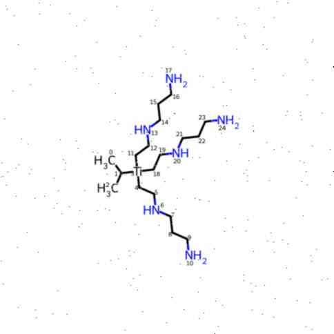 C[CH](C)[Ti]([CH2]CNCCCN)([CH2]CNCCCN)[CH2]CNCCCN